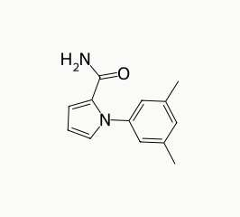 Cc1cc(C)cc(-n2cccc2C(N)=O)c1